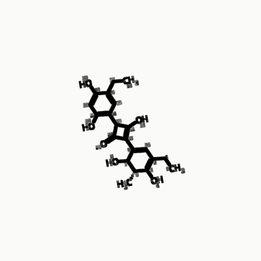 CCC1=C(O)[C@H](C)C(O)C(C2=C(O)C(c3cc(CC)c(O)cc3O)C2=O)=C1